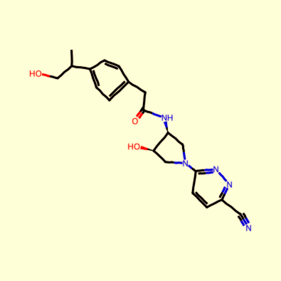 CC(CO)c1ccc(CC(=O)N[C@H]2CN(c3ccc(C#N)nn3)C[C@H]2O)cc1